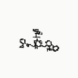 COc1ccccc1OCCNCC(Cc1cccc2c1[nH]c1ccccc12)OC(=O)C(C)(C)CO.Cl